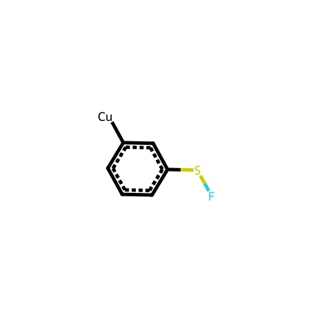 FSc1ccc[c]([Cu])c1